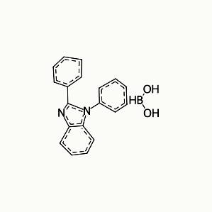 OBO.c1ccc(-c2nc3ccccc3n2-c2ccccc2)cc1